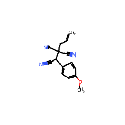 C=CCC(C#N)(C#N)C(C#N)c1ccc(OC)cc1